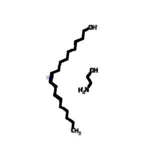 CCCCCCCC/C=C\CCCCCCCCO.NCCO